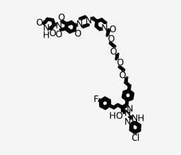 O=C1CCC(N2C(=O)C3=CC(=O)C(N4CCN(CC5CCN(C(=O)COCCOCCOCCOCCCc6ccc(-c7nn(-c8nc9cc(Cl)ccc9[nH]8)c(O)c7CCc7ccc(F)cc7)cc6)CC5)CC4)C=C3C2=O)C(=O)N1